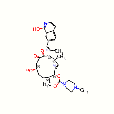 C/C(=C\c1ccc2ccnc(O)c2c1)[C@H]1C(=O)C(=O)C[C@H](O)CC[C@H](C)[C@@H](OC(=O)N2CCN(C)CC2)/C=C/[C@@H]1C